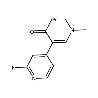 CC(C)C(=O)C(=CN(C)C)c1ccnc(F)c1